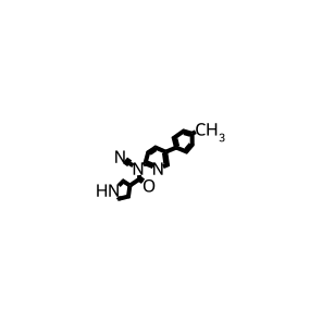 Cc1ccc(-c2ccc(N(C#N)C(=O)C3CCNC3)nc2)cc1